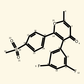 Cc1cc(=O)c(-c2cc(F)cc(F)c2)c(-c2ccc(S(C)(=O)=O)cc2)o1